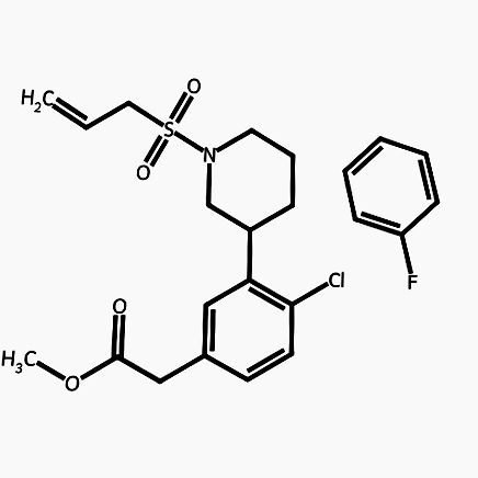 C=CCS(=O)(=O)N1CCCC(c2cc(CC(=O)OC)ccc2Cl)C1.Fc1ccccc1